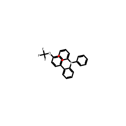 FC(F)(F)Oc1ccc(-c2ccccc2P(c2ccccc2)c2ccccc2)cc1